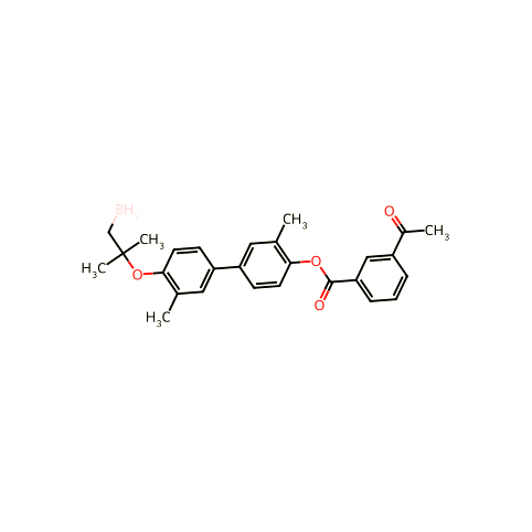 BCC(C)(C)Oc1ccc(-c2ccc(OC(=O)c3cccc(C(C)=O)c3)c(C)c2)cc1C